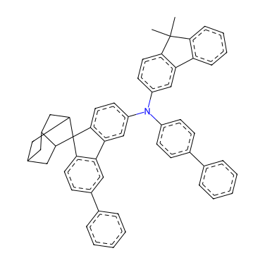 CC1(C)c2ccccc2-c2cc(N(c3ccc(-c4ccccc4)cc3)c3ccc4c(c3)-c3cc(-c5ccccc5)ccc3C43C4CC5CC(C4)C3C5)ccc21